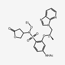 CCON(C1COC(=O)C1)S(=O)(=O)c1ccc(NC(C)=O)cc1O[C@H](C)Cn1cnc2cccnc21